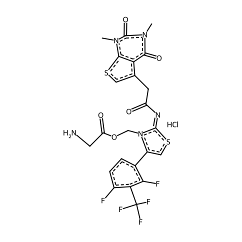 Cl.Cn1c(=O)c2c(CC(=O)N=c3scc(-c4ccc(F)c(C(F)(F)F)c4F)n3COC(=O)CN)csc2n(C)c1=O